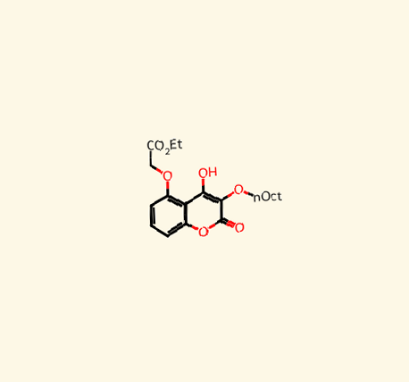 CCCCCCCCOc1c(O)c2c(OCC(=O)OCC)cccc2oc1=O